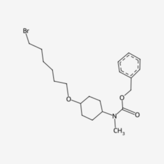 CN(C(=O)OCc1ccccc1)C1CCC(OCCCCCCBr)CC1